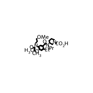 CCc1cc2c(cc1C(=O)N(C(C)C)[C@@H]1CCCN(C(=O)O)C1)N(CCCOC)C(=O)C(C)(C)O2